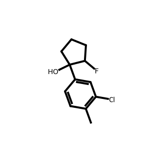 Cc1ccc(C2(O)CCCC2F)cc1Cl